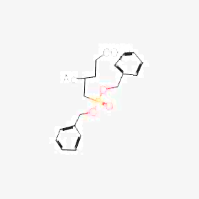 CC(=O)C(CCC(=O)O)CP(=O)(OCc1ccccc1)OCc1ccccc1